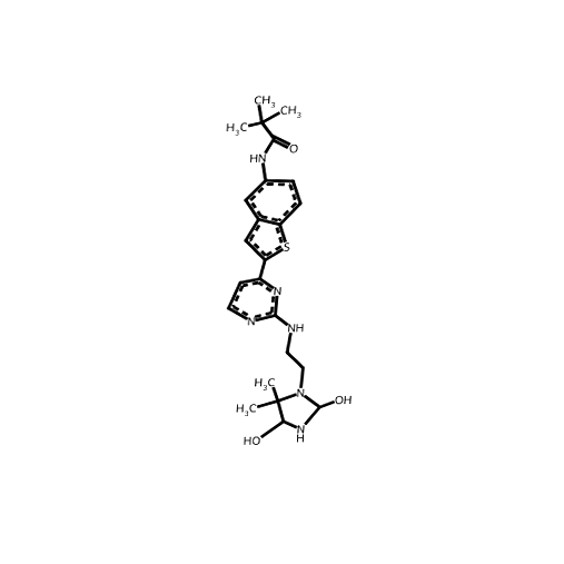 CC(C)(C)C(=O)Nc1ccc2sc(-c3ccnc(NCCN4C(O)NC(O)C4(C)C)n3)cc2c1